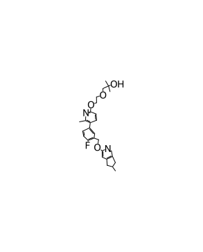 Cc1nc(OCCOCC(C)(C)O)ccc1-c1ccc(F)c(COc2cc3c(cn2)CC(C)C3)c1